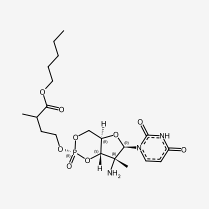 CCCCCOC(=O)C(C)CCO[P@]1(=O)OC[C@H]2O[C@@H](n3ccc(=O)[nH]c3=O)[C@](C)(N)[C@@H]2O1